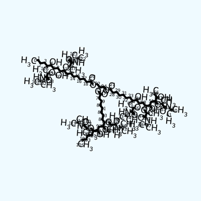 CCCCCC(O)C(CC(O)C(CCCCCCCC(=O)OCC(COC(=O)CCCCCCCC(O)C(CC(OC(C)C(=O)NC(C)C)C(O)CC(OC(C)C(=O)NC(C)C)C(O)CC)OC(C)C(=O)NC(C)C)OC(=O)CCCCCCCC(OC(C)C(=O)NC(C)C)C(O)CC(O)C(CCCCC)OC(C)C(=O)NC(C)C)OC(C)C(=O)NC(C)C)OC(C)C(=O)NC(C)C